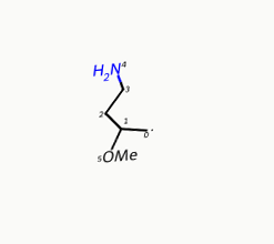 [CH2]C(CCN)OC